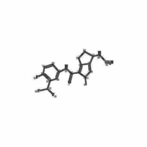 Cn1cc2c(c1C(=O)Nc1ccc(F)c(C(F)F)c1)CCC2NC(=O)O